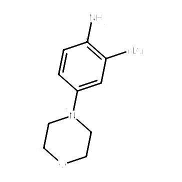 CCCCc1cc(N2CCOCC2)ccc1N